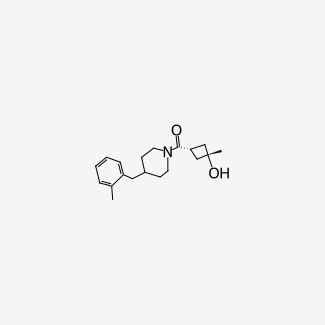 Cc1ccccc1CC1CCN(C(=O)[C@H]2C[C@@](C)(O)C2)CC1